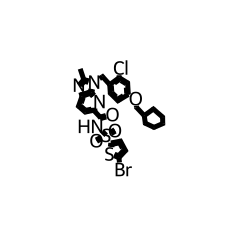 Cc1nc2ccc(C(=O)NS(=O)(=O)c3ccc(Br)s3)nc2n1Cc1ccc(OCC2CCCCC2)cc1Cl